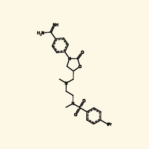 CC(C)c1ccc(S(=O)(=O)N(C)CCN(C)CC2CN(c3ccc(C(=N)N)cc3)C(=O)O2)cc1